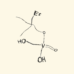 CCC(C)(C)[O][V](=[O])([OH])[OH]